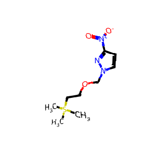 CS(C)(C)CCOCn1ccc([N+](=O)[O-])n1